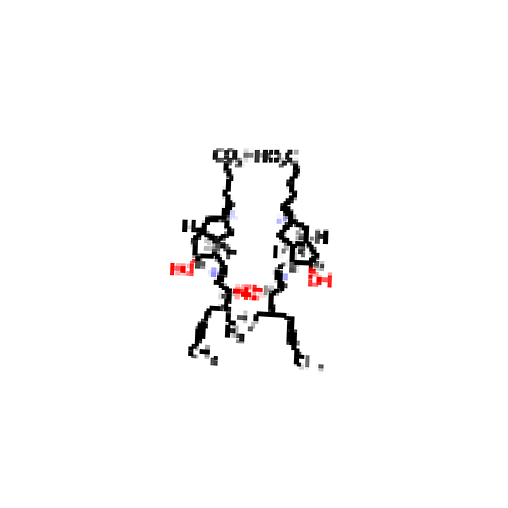 CC#CCC(C)[C@H](O)/C=C/C1[C@H](O)C[C@@H]2C/C(=C\CCCC(=O)O)C[C@H]12.CC#CCC(C)[C@H](O)/C=C/[C@@H]1[C@H]2C/C(=C/CCCC(=O)O)C[C@H]2C[C@H]1O